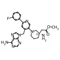 COC(=O)C[C@@]1(N)CCCN(c2cnc(-c3cccc(F)c3)cc2Cn2cnc3c(N)ncnc32)C1